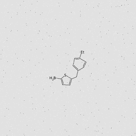 Bc1ccc(Cc2ccc(CC)cc2)s1